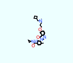 Cc1ccc(C(=O)NC2CC2)cc1-n1cnc2ccc(OCCCN(C)CC3CCC3)cc2c1=O